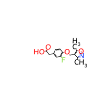 Cc1noc(C)c1COc1ccc(CC(=O)O)cc1F